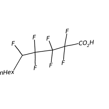 CCCCCCC(F)C(F)(F)C(F)(F)C(F)(F)C(=O)O